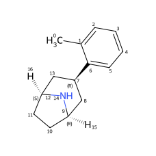 Cc1ccccc1[C@H]1C[C@H]2CC[C@@H](C1)N2